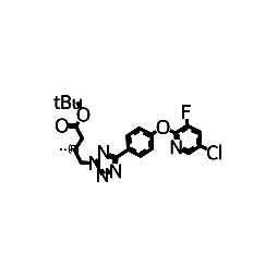 C[C@H](CC(=O)OC(C)(C)C)Cn1nnc(-c2ccc(Oc3ncc(Cl)cc3F)cc2)n1